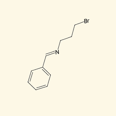 BrCCCN=Cc1ccccc1